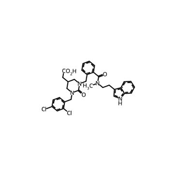 CN(CCc1c[nH]c2ccccc12)C(=O)c1ccccc1CN1CC(CC(=O)O)CN(Cc2ccc(Cl)cc2Cl)C1=O